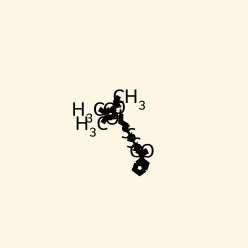 CCO[Si](CCCSSSSOC(=O)C1CC2CCC1C2)(OCC)OCC